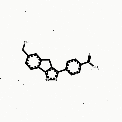 NC(=O)c1ccc(-c2n[nH]c3c2Cc2cc(CO)ccc2-3)cc1